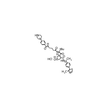 Cc1ncsc1-c1ccc([C@H](C)NC(=O)[C@@H]2C[C@@H](O)CN2C(=O)[C@@H](NC(=O)CCCNC(=O)c2ccc(N3CCNCC3)cc2)C(C)(C)C)cc1.Cl